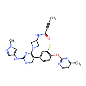 CC#CC(=O)NC1CN(c2nc(Nc3cnn(C)c3)ncc2-c2ccc(Oc3nccc(C)n3)c(F)c2)C1